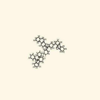 c1cc(-c2ccc(-c3ccccc3-n3c4ccccc4c4ccccc43)cc2)cc(N(c2ccc(-c3cccc4c3oc3ccccc34)cc2)c2ccc3c(ccc4ccccc43)c2)c1